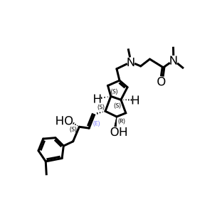 Cc1cccc(C[C@H](O)/C=C/[C@@H]2[C@H]3CC(CN(C)CCC(=O)N(C)C)=C[C@H]3C[C@H]2O)c1